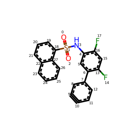 O=S(=O)(Nc1cc(-c2cc#ccc2)c(F)cc1F)c1cccc2ccccc12